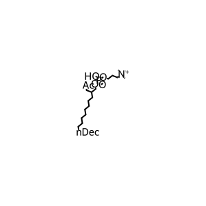 CCCCCCCCCCCCCCCCCCC(COP(=O)(O)OCCC[N+](C)(C)C)CC(C)=O